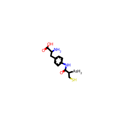 NC(Cc1ccc(NC(=O)C([AsH2])CS)cc1)C(=O)O